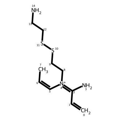 C=C/C(N)=[N+](\C=C/C)CCSSCCN